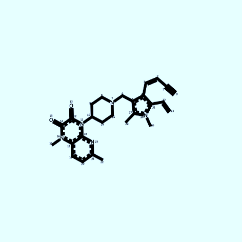 C#C/C=C\c1c(CN2CCC(n3c(=O)c(=O)n(C)c4ccc(C)nc43)CC2)c(C)n(C)c1C=C